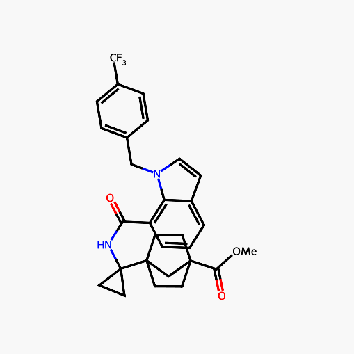 COC(=O)C12CCC(C3(NC(=O)c4cccc5ccn(Cc6ccc(C(F)(F)F)cc6)c45)CC3)(CC1)C2